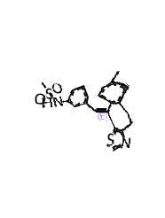 Cc1ccc2c(c1)CCc1ncsc1/C2=C/c1cccc(NS(C)(=O)=O)c1